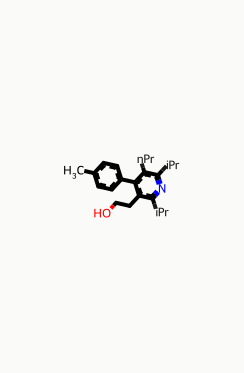 CCCc1c(C(C)C)nc(C(C)C)c(CCO)c1-c1ccc(C)cc1